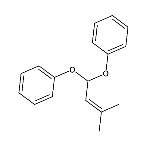 CC(C)=CC(Oc1ccccc1)Oc1ccccc1